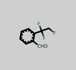 O=[C]c1ccccc1C(F)(F)CF